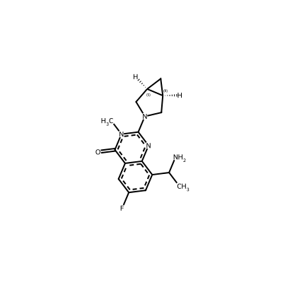 CC(N)c1cc(F)cc2c(=O)n(C)c(N3C[C@H]4C[C@H]4C3)nc12